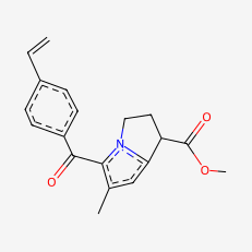 C=Cc1ccc(C(=O)c2c(C)cc3n2CCC3C(=O)OC)cc1